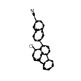 N#Cc1ccc2cc(-c3ccc4c5c(ccc(Cl)c35)-c3ccccc3-4)ccc2c1